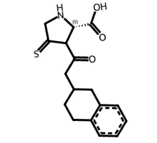 O=C(CC1CCc2ccccc2C1)C1C(=S)CN[C@@H]1C(=O)O